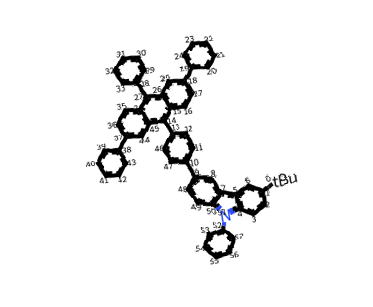 CC(C)(C)c1ccc2c(c1)c1cc(-c3ccc(-c4c5ccc(-c6ccccc6)cc5c(-c5ccccc5)c5ccc(-c6ccccc6)cc45)cc3)ccc1n2-c1ccccc1